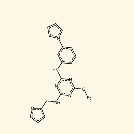 CCOc1nc(NCc2ccco2)nc(Nc2cccc(-n3cccc3)c2)n1